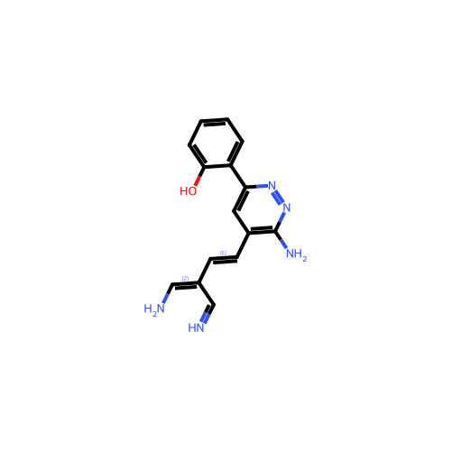 N=CC(=C\N)/C=C/c1cc(-c2ccccc2O)nnc1N